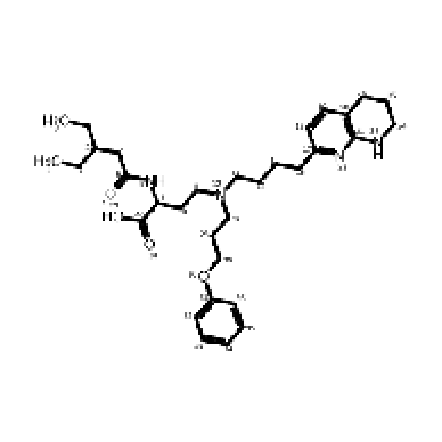 CCC(CC)CC(=O)NC(CCN(CCCCc1ccc2c(n1)NCCC2)CCCOc1ccccc1)C(=O)O